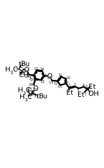 CCC(=CCCC(O)(CC)CC)C1=CC=C(COc2ccc(CO[Si](C)(C)C(C)(C)C)c(CO[Si](C)(C)C(C)(C)C)c2)C1